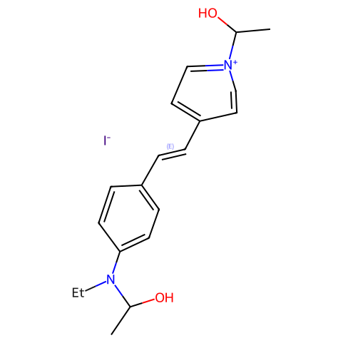 CCN(c1ccc(/C=C/c2cc[n+](C(C)O)cc2)cc1)C(C)O.[I-]